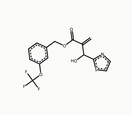 C=C(C(=O)OCc1cccc(OC(F)(F)F)c1)C(O)c1nccs1